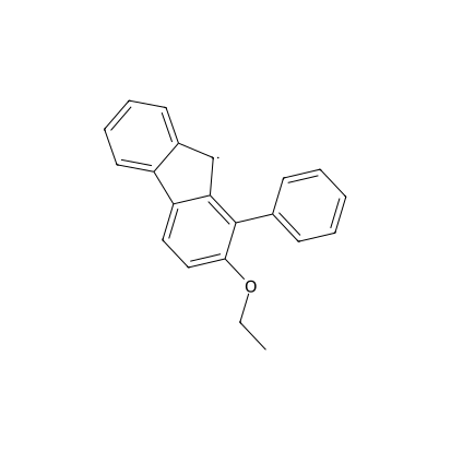 CCOc1ccc2c(c1-c1ccccc1)[CH]c1ccccc1-2